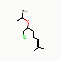 CC(C)=CCCC(CCl)OC(C)OCC(C)C